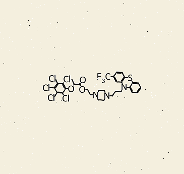 CC(Oc1c(Cl)c(Cl)c(Cl)c(Cl)c1Cl)C(=O)OCCN1CCN(CCCN2c3ccccc3Sc3ccc(C(F)(F)F)cc32)CC1